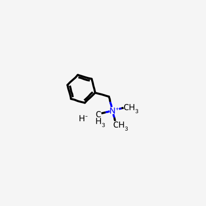 C[N+](C)(C)Cc1ccccc1.[H-]